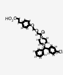 O=C(O)CCc1ccc(OCOCC(=O)N2CCN(C(c3ccccc3)c3ccc(Cl)cc3)CC2)cc1